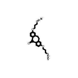 [N-]=[N+]=NCCCOc1ccc2c(c1)CCc1cc(OCCCN=[N+]=[N-])ccc1-c1c-2c1=O